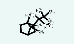 BC(BC)(C1CC2CCC1(C)C2(C)C)C(C)(C)C